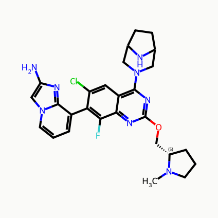 CN1CCC[C@H]1COc1nc(N2CC3CCC(C2)N3)c2cc(Cl)c(-c3cccn4cc(N)nc34)c(F)c2n1